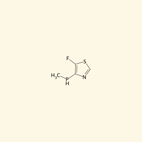 CPc1ncsc1F